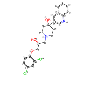 O[C@H](COc1ccc(Cl)cc1Cl)CN1CCC(O)(c2cnc3ccccc3c2)CC1